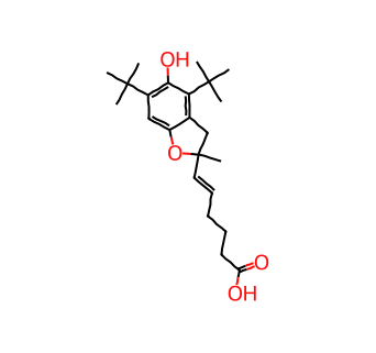 CC1(/C=C/CCCC(=O)O)Cc2c(cc(C(C)(C)C)c(O)c2C(C)(C)C)O1